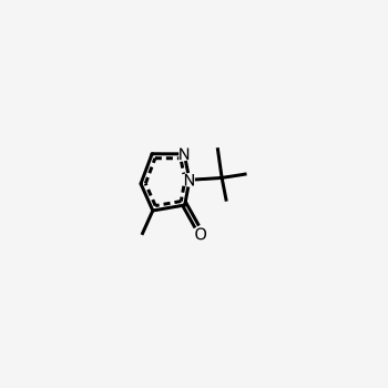 Cc1ccnn(C(C)(C)C)c1=O